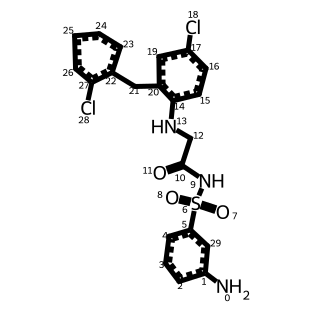 Nc1cccc(S(=O)(=O)NC(=O)CNc2ccc(Cl)cc2Cc2ccccc2Cl)c1